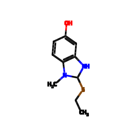 CCSC1Nc2cc(O)ccc2N1C